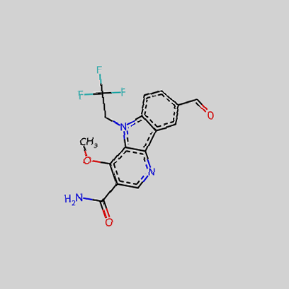 COc1c(C(N)=O)cnc2c3cc(C=O)ccc3n(CC(F)(F)F)c12